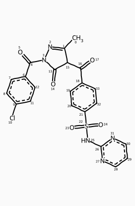 CC1=NN(C(=O)c2ccc(Cl)cc2)C(=O)C1C(=O)c1ccc(S(=O)(=O)Nc2ncccn2)cc1